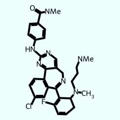 CNCCCN(C)C1CC=CC(F)=C1C1=NCc2cnc(Nc3ccc(C(=O)NC)cc3)nc2-c2ccc(Cl)cc21